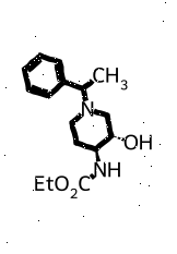 CCOC(=O)N[C@H]1CCN(C(C)c2ccccc2)C[C@@H]1O